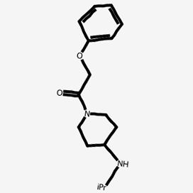 CC(C)NC1CCN(C(=O)COc2ccccc2)CC1